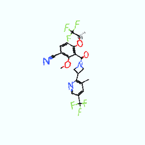 COc1c(C#N)ccc(O[C@@H](C)C(F)(F)F)c1C(=O)N1CC(c2ncc(C(F)(F)F)cc2C)C1